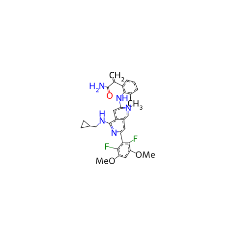 C=C(C(N)=O)c1cccc(C)c1Nc1cc2c(NCC3CC3)nc(-c3c(F)c(OC)cc(OC)c3F)cc2cn1